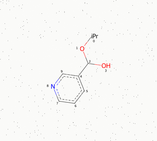 CC(C)OC(O)c1cccnc1